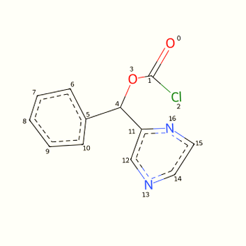 O=C(Cl)OC(c1ccccc1)c1cnccn1